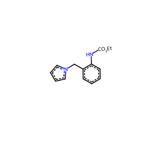 CCOC(=O)Nc1ccccc1Cn1cccc1